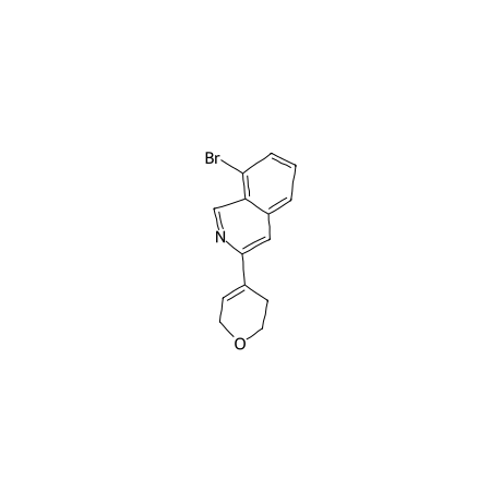 Brc1cccc2cc(C3=CCOCC3)ncc12